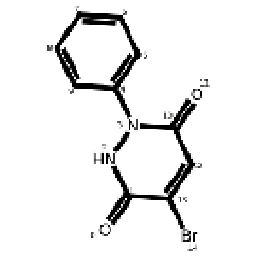 O=c1[nH]n(-c2ccccc2)c(=O)cc1Br